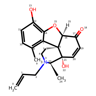 C=CCN1CC[C@]23c4c(C)ccc(O)c4O[C@H]2C(=O)C=C[C@@]3(O)[C@H]1C